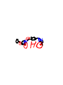 Cc1cc(CN2CCC(C)(O)C2)ccc1C(=O)Cn1ccc(OCc2ccccc2)cc1=O